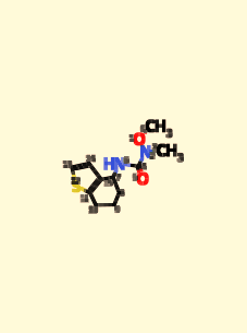 CON(C)C(=O)NC1CCCc2sccc21